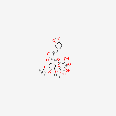 COc1cc([C@@H](O[C@@H]2O[C@H](CO)[C@@H](O)[C@H](O)[C@H]2O)[C@H]2C(=O)OC[C@@H]2Cc2ccc3c(c2)OCO3)cc(OC)c1OC